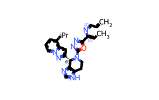 C=C/C=N\C(=C/C)c1nnc(N2CCc3[nH]cnc3[C@@H]2c2cc3c(C(C)C)cccn3n2)o1